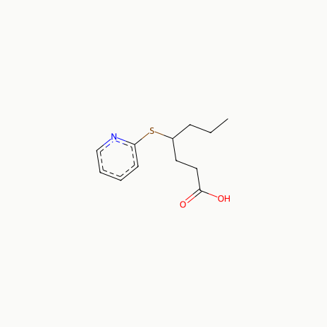 CCCC(CCC(=O)O)Sc1ccccn1